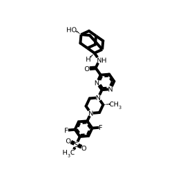 C[C@@H]1CN(c2cc(F)c(S(C)(=O)=O)cc2F)CCN1c1nccc(C(=O)N[C@H]2C3CC4CC2C[C@](O)(C4)C3)n1